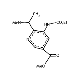 CCOC(=O)Nc1cc(C(=O)OC)cnc1C(C)NC